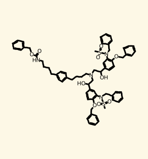 CS(=O)(=O)N(Cc1ccccc1)c1cc(C(O)CN(CCCCc2ccc(CCCCNC(=O)OCc3ccccc3)cc2)CC(O)c2ccc(OCc3ccccc3)c(N(Cc3ccccc3)S(C)(=O)=O)c2)ccc1OCc1ccccc1